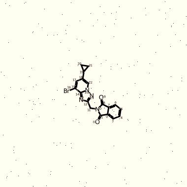 O=C1c2ccccc2C(=O)N1Cc1nc2c(Br)cc(C3CC3)cn2n1